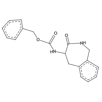 O=C(NC1Cc2ccccc2CNC1=O)OCc1ccccc1